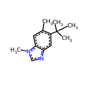 Cc1cc2c(cc1C(C)(C)C)ncn2C